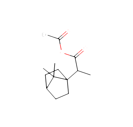 CCC(=O)OC(=O)C(C)C12CCC(CC1)C2(C)C